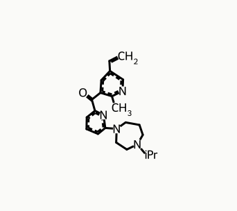 C=Cc1cnc(C)c(C(=O)c2cccc(N3CCCN(C(C)C)CC3)n2)c1